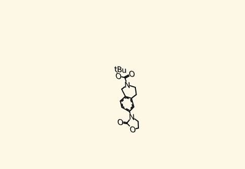 CC(C)(C)OC(=O)N1CCc2cc(N3CCOC3=O)ccc2C1